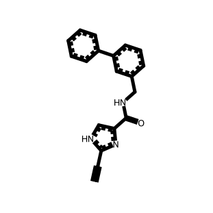 C#Cc1nc(C(=O)NCc2cccc(-c3ccccc3)c2)c[nH]1